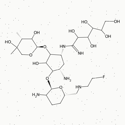 C[C@@H]1C(O)[C@@H](OC2C(O)C(O[C@H]3O[C@H](CNCCF)CCC3N)[C@@H](N)C[C@H]2NC(=N)C(O)C(O)C(O)C(O)CO)OCC1(C)O